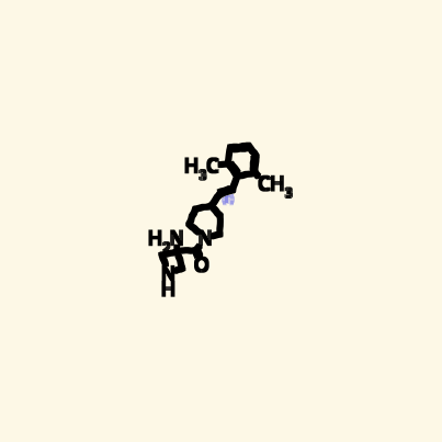 Cc1cccc(C)c1/C=C/C1CCN(C(=O)C2(N)CNC2)CC1